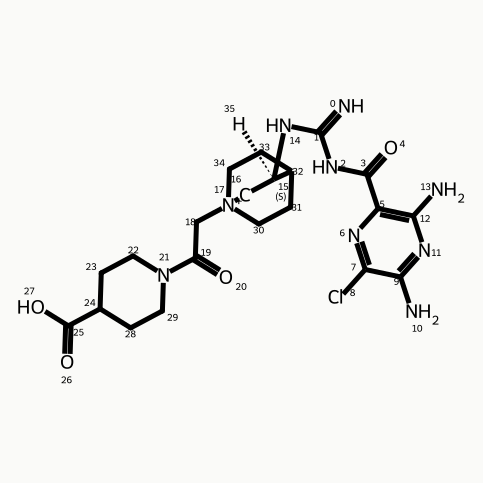 N=C(NC(=O)c1nc(Cl)c(N)nc1N)N[C@@H]1C[N+]2(CC(=O)N3CCC(C(=O)O)CC3)CCC1CC2